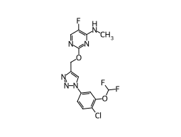 CNc1nc(OCc2cn(-c3ccc(Cl)c(OC(F)F)c3)nn2)ncc1F